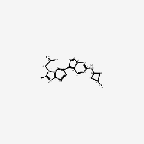 Cc1nc2ncc(-c3ccn4nc(NC5CC(O)C5)ncc34)cc2n1CC(F)F